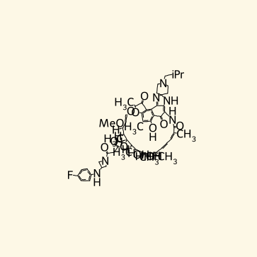 CO[C@@H]1/C=C/O[C@@]2(C)Oc3c(C)c(O)c4c(c3C2=O)C2=NC3(CCN(CC(C)C)CC3)NC2=C(NC(=O)/C(C)=C\C=C\[C@H](C)[C@H](O)[C@@H](C)[C@@H](O)[C@@H](C)[C@H](OC(=O)CC(=O)N2CC(Nc3ccc(F)cc3)C2)[C@@H]1C)C4=O